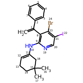 C=C(c1ccccc1)c1c(NC2=CCCC(C)(C)C2)ncc(I)c1Br